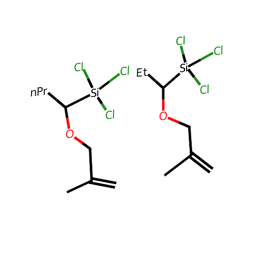 C=C(C)COC(CC)[Si](Cl)(Cl)Cl.C=C(C)COC(CCC)[Si](Cl)(Cl)Cl